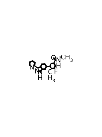 CCNC(=O)c1cc(F)c(C)c(-c2ccc3c(-c4ccccn4)n[nH]c3c2)c1